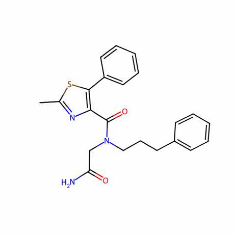 Cc1nc(C(=O)N(CCCc2ccccc2)CC(N)=O)c(-c2ccccc2)s1